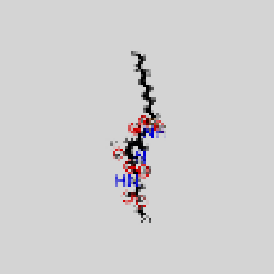 CCCCCCCCCCS(=O)(=O)NC(=O)c1cnc(OC(=O)NCC(=O)OCC)c(OC)c1